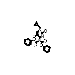 O=C(Oc1ccccc1)N(C(=O)Oc1ccccc1)c1nc(=O)n(CC2CC2)cc1F